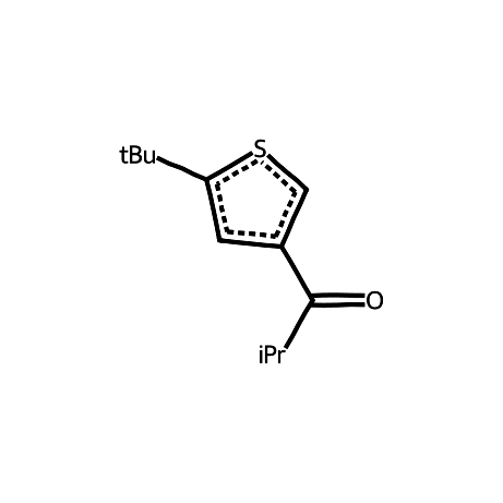 CC(C)C(=O)c1csc(C(C)(C)C)c1